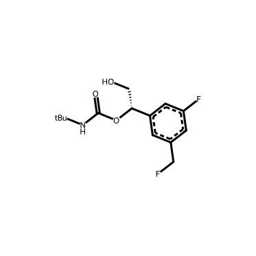 CC(C)(C)NC(=O)O[C@H](CO)c1cc(F)cc(CF)c1